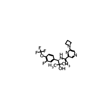 CC(C)(O)[C@@H](NC(=O)c1cncc(N2CCC2)n1)c1ccc(OC(F)(F)F)c(F)c1